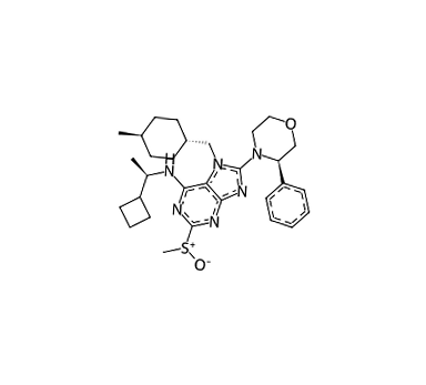 C[C@@H](Nc1nc([S+](C)[O-])nc2nc(N3CCOC[C@H]3c3ccccc3)n(C[C@H]3CC[C@H](C)CC3)c12)C1CCC1